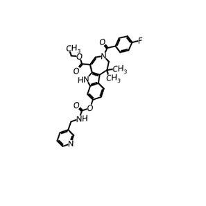 CCOC(=O)C1=CN(C(=O)c2ccc(F)cc2)CC(C)(C)c2c1[nH]c1cc(OC(=O)NCc3cccnc3)ccc21